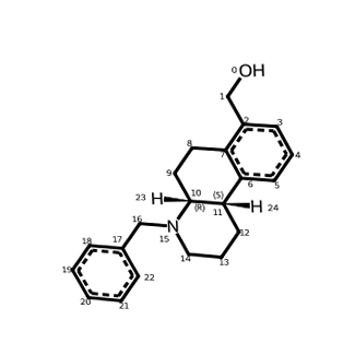 OCc1cccc2c1CC[C@@H]1[C@H]2CCCN1Cc1ccccc1